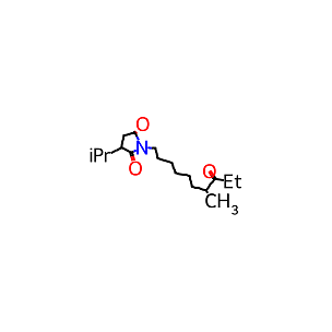 CCC(=O)C(C)CCCCCCN1C(=O)CC(C(C)C)C1=O